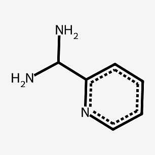 NC(N)c1ccccn1